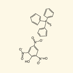 O=[N+]([O-])c1cc([N+](=O)[O-])c(O)c([N+](=O)[O-])c1.S=P(c1ccccc1)(c1ccccc1)c1ccccc1